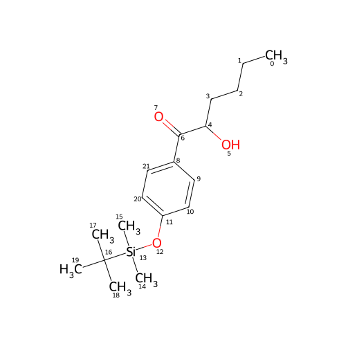 CCCCC(O)C(=O)c1ccc(O[Si](C)(C)C(C)(C)C)cc1